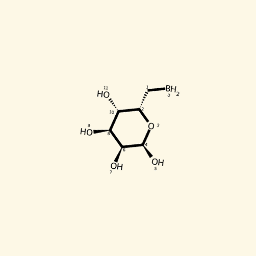 BC[C@@H]1O[C@@H](O)[C@@H](O)[C@@H](O)[C@@H]1O